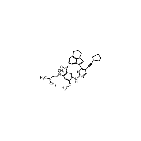 COc1cc(N(C)CCN(C)C)c([N+](=O)[O-])cc1Nc1ncc(C#CC2CCCC2)c(-c2cn3c4c(cccc24)CCC3)n1